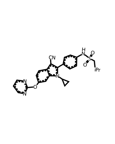 CC(C)CS(=O)(=O)Nc1ccc(-c2c(C#N)c3ccc(Oc4ncccn4)cc3n2C2CC2)cc1